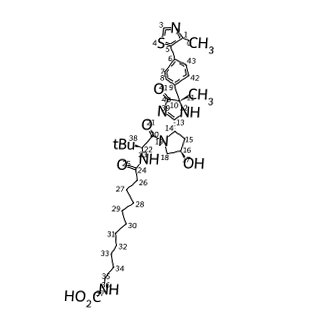 Cc1ncsc1-c1ccc([C@]2(C)NC([C@@H]3C[C@@H](O)CN3C(=O)[C@@H](NC(=O)CCCCCCCCCCNC(=O)O)C(C)(C)C)=NC2=O)cc1